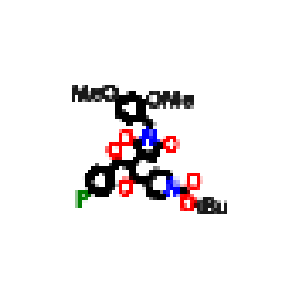 COc1ccc(CN2C(=O)C=C(C(C(=O)c3ccc(F)cc3)C(=O)C3CCN(C(=O)OC(C)(C)C)CC3)C2=O)c(OC)c1